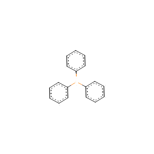 c1ccc([PH2](c2ccccc2)c2ccccc2)cc1